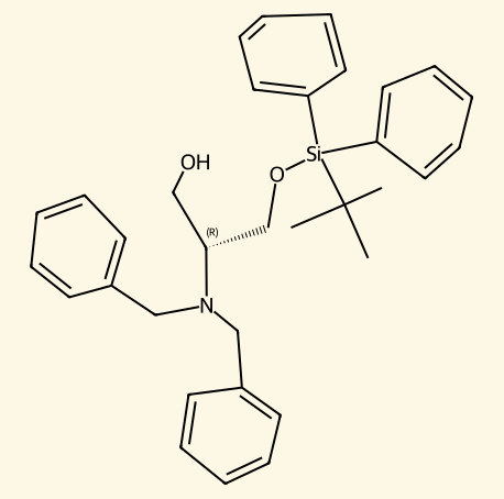 CC(C)(C)[Si](OC[C@@H](CO)N(Cc1ccccc1)Cc1ccccc1)(c1ccccc1)c1ccccc1